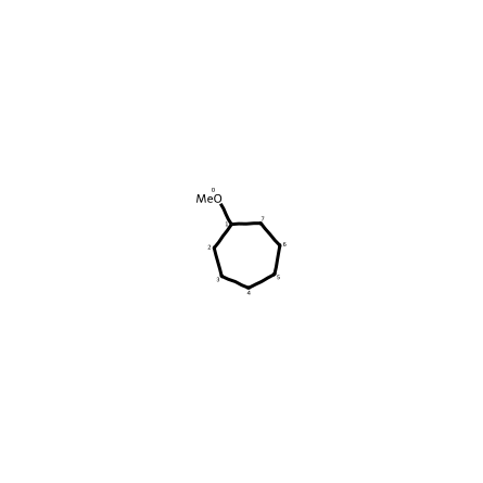 COC1CCCCCC1